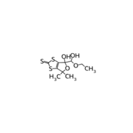 CCOC(O)C1(O)OC(C)(C)c2sc(=S)sc21